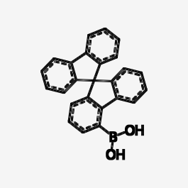 OB(O)c1cccc2c1-c1ccccc1C21c2ccccc2-c2ccccc21